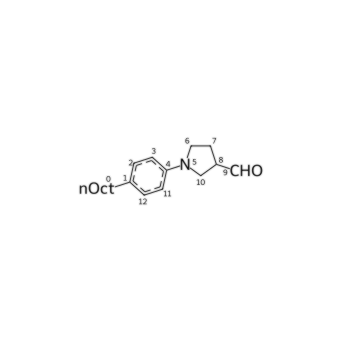 CCCCCCCCc1ccc(N2CCC(C=O)C2)cc1